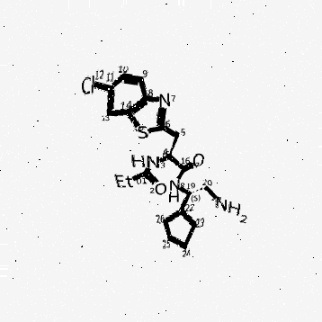 CCC(=O)N[C@@H](Cc1nc2ccc(Cl)cc2s1)C(=O)N[C@H](CN)C1CCCC1